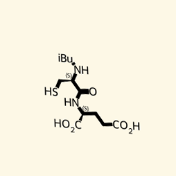 CCC(C)N[C@H](CS)C(=O)N[C@@H](CCC(=O)O)C(=O)O